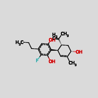 C=C(C)[C@@H]1C[C@H](O)C(C)=C[C@H]1c1c(O)cc(CCC)c(F)c1O